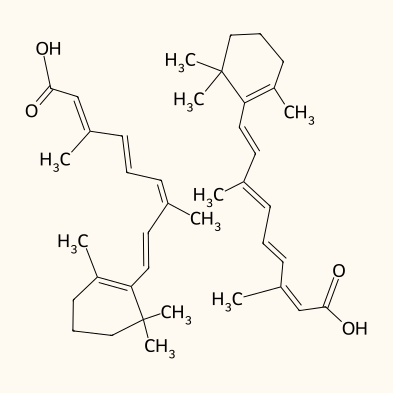 CC1=C(/C=C/C(C)=C/C=C/C(C)=C\C(=O)O)C(C)(C)CCC1.CC1=C(/C=C/C(C)=C\C=C\C(C)=C\C(=O)O)C(C)(C)CCC1